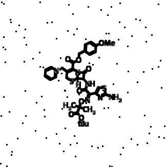 COc1ccc(COC(=O)C2=C(C[n+]3ccccc3)CS[C@@H]3[C@H](NC(=O)/C(=N\OC(C)(C)C(=O)OC(C)(C)C)c4csc(N)n4)C(=O)N23)cc1